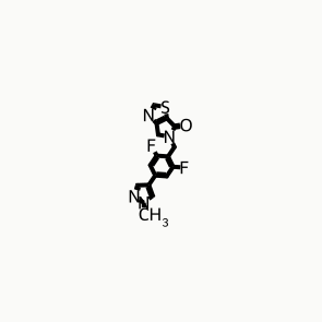 Cn1cc(-c2cc(F)c(CN3Cc4ncsc4C3=O)c(F)c2)cn1